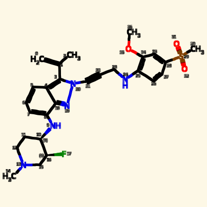 C=C(C)c1c2cccc(N[C@@H]3CCN(C)C[C@@H]3F)c2nn1C#CCNc1ccc(S(C)(=O)=O)cc1OC